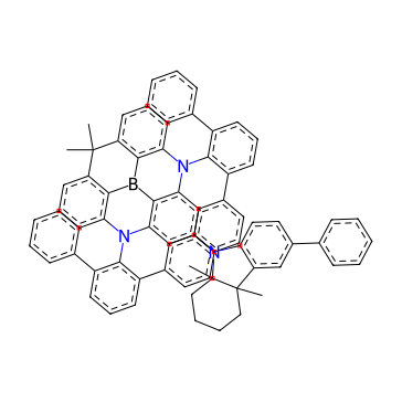 CC1(C)c2cccc3c2B2c4c(cc(N5c6ccc(-c7ccccc7)cc6C6(C)CCCCC56C)cc4N(c4c(-c5ccccc5)cccc4-c4ccccc4)c4cccc1c42)N3c1c(-c2ccccc2)cccc1-c1ccccc1